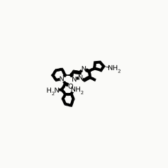 Cc1cn2nc([C@@H]3CCCCN3C(=O)C(N)C3CCCCC3N)cc2nc1C1CC[C@H](N)C1